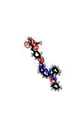 CCOC(Cc1ccc(OCCn2ccc3ccc(/C(=N\Oc4ccccc4)c4ccccc4)nc32)cc1)C(=O)OC